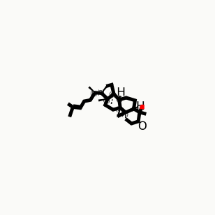 CC(C)=CCC[C@@H](C)[C@H]1CC[C@@]2(C)[C@@H]3CC[C@H]4C(C)(C)C(=O)CC[C@@]45C[C@@]35CC[C@]12C